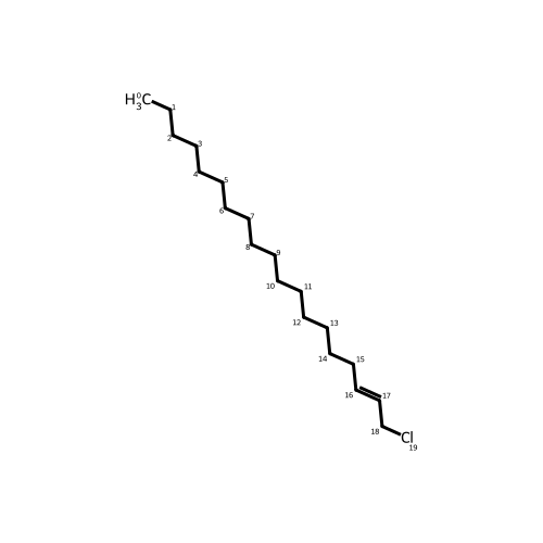 CCCCCCCCCCCCCCCCC=CCCl